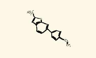 O=C(O)c1cc2ccc(-c3ccc(OC(F)(F)F)cc3)cc2s1